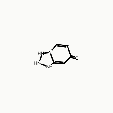 O=c1[c]cn2c(c1)NNN2